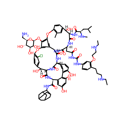 CCNCCCc1ccc(NC(=O)NC(=O)C[C@@H]2NC(=O)[C@H](NC(=O)[C@@H](CC(C)C)NC)[C@H](O)c3ccc(c(C)c3)Oc3cc4cc(c3O[C@@H]3O[C@H](CN)[C@@H](O)[C@H](O)[C@H]3O)Oc3ccc(cc3Cl)[C@@H](O)[C@@H]3NC(=O)[C@H](NC(=O)[C@@H]4NC2=O)c2ccc(O)c(c2)-c2c(O)cc(O)cc2[C@@H](C(=O)NC2C4CC5CC(C4)CC2C5)NC3=O)cc1OCCNCC